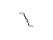 CCCC[CH]CCOCC